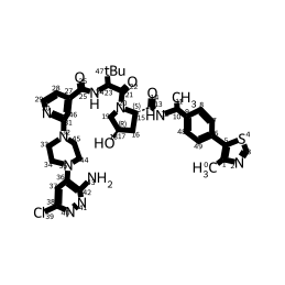 Cc1ncsc1-c1ccc(C(C)NC(=O)[C@@H]2C[C@@H](O)CN2C(=O)C(NC(=O)c2ccnc(N3CCN(c4cc(Cl)nnc4N)CC3)c2)C(C)(C)C)cc1